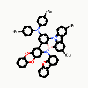 CC(C)(C)c1ccc(N(c2ccc(C(C)(C)C)cc2)c2cc3c4c(c2)-n2c5ccc(C(C)(C)C)cc5c5cc(C(C)(C)C)cc(c52)B4N(c2cccc4c2oc2ccccc24)c2cc4c(cc2-3)Oc2ccccc2O4)cc1